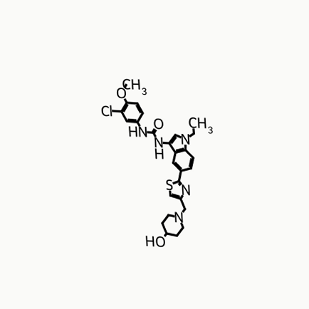 CCn1cc(NC(=O)Nc2ccc(OC)c(Cl)c2)c2cc(-c3nc(CN4CCC(O)CC4)cs3)ccc21